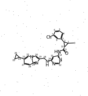 CC1C(c2cccc(Cl)c2)[C@@H]1C(=O)Nc1cc(NCc2cn3cc(C4CC4)ccc3n2)ncn1